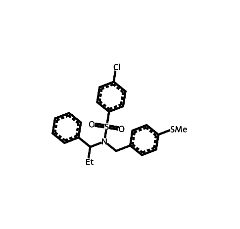 CCC(c1ccccc1)N(Cc1ccc(SC)cc1)S(=O)(=O)c1ccc(Cl)cc1